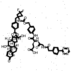 C[C@]12C=CC(=O)C=C1CC[C@@H]1[C@@H]2[C@@H](O)C[C@@]2(C)[C@H]1C[C@H]1OC(c3ccc(CC4(NC(=O)OCc5ccc(NC(=O)[C@H](CCC(=O)O)NC(=O)CNC(=O)Cc6ccc(-c7nncnn7)cc6)cc5)CC(F)(F)C4)cc3)O[C@]12C(=O)CO